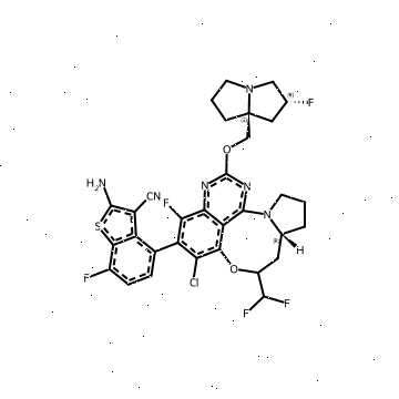 N#Cc1c(N)sc2c(F)ccc(-c3c(Cl)c4c5c(nc(OC[C@@]67CCCN6C[C@H](F)C7)nc5c3F)N3CCC[C@@H]3CC(C(F)F)O4)c12